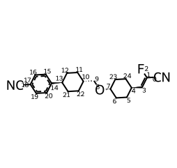 N#C/C(F)=C/[C@H]1CC[C@H](OC[C@H]2CC[C@H](c3ccc(C#N)cc3)CC2)CC1